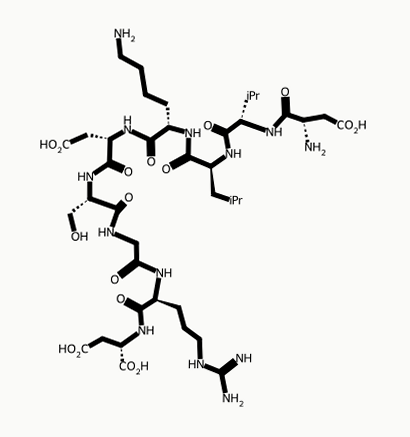 CC(C)C[C@H](NC(=O)[C@@H](NC(=O)[C@@H](N)CC(=O)O)C(C)C)C(=O)N[C@@H](CCCCN)C(=O)N[C@@H](CC(=O)O)C(=O)N[C@@H](CO)C(=O)NCC(=O)N[C@@H](CCCNC(=N)N)C(=O)N[C@@H](CC(=O)O)C(=O)O